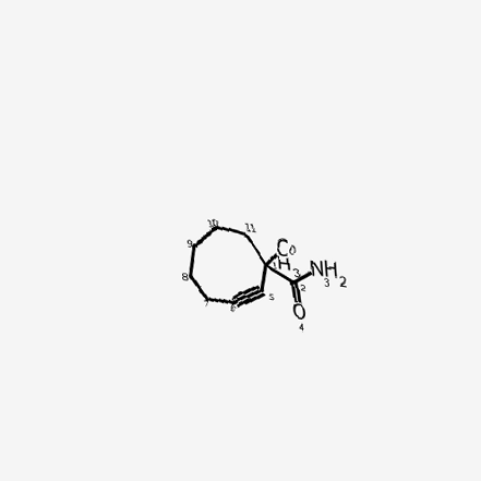 CC1(C(N)=O)C#CCCCCC1